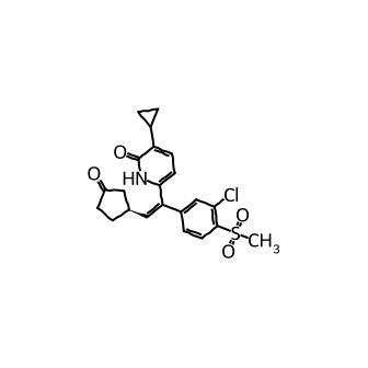 CS(=O)(=O)c1ccc(/C(=C/[C@H]2CCC(=O)C2)c2ccc(C3CC3)c(=O)[nH]2)cc1Cl